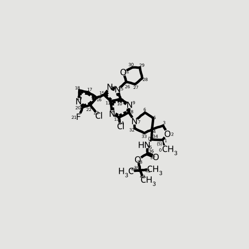 C[C@@H]1OCC2(CCN(c3nc4c(nc3Cl)c(-c3ccnc(F)c3Cl)nn4C3CCCCO3)CC2)[C@@H]1NC(=O)OC(C)(C)C